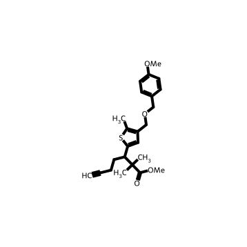 C#CCCC(c1cc(COCc2ccc(OC)cc2)c(C)s1)C(C)(C)C(=O)OC